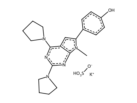 Cn1c(-c2ccc(O)cc2)cc2c(N3CCCC3)nc(N3CCCC3)nc21.O=S(=O)([O-])O.[K+]